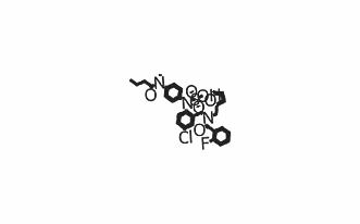 CCCC(=O)N(C)c1ccc(N(c2ccc(Cl)cc2CN(Cc2ccco2)C(=O)c2ccccc2F)S(=O)(=O)O)cc1